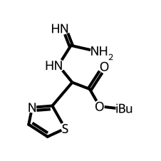 CCC(C)OC(=O)C(NC(=N)N)c1nccs1